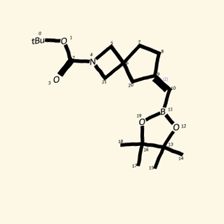 CC(C)(C)OC(=O)N1CC2(CC/C(=C/B3OC(C)(C)C(C)(C)O3)C2)C1